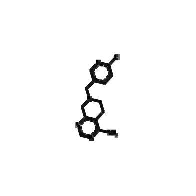 Nc1ncnc2c1CCN(Cc1ccc(Cl)nc1)C2